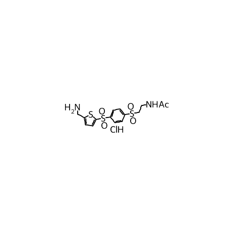 CC(=O)NCCS(=O)(=O)c1ccc(S(=O)(=O)c2ccc(CN)s2)cc1.Cl